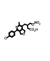 Cc1nc(-c2ccc(Cl)cc2)c2c(c1CC(CO[N+](=O)[O-])CC(=O)O)COC2